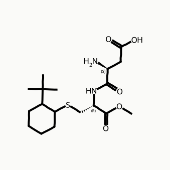 COC(=O)[C@H](CSC1CCCCC1C(C)(C)C)NC(=O)[C@@H](N)CC(=O)O